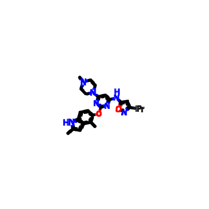 Cc1cc2c(C)c(Oc3nc(Nc4cc(C(C)C)no4)cc(N4CCN(C)CC4)n3)ccc2[nH]1